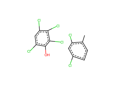 Cc1ccc(Cl)cc1Cl.Oc1c(Cl)cc(Cl)c(Cl)c1Cl